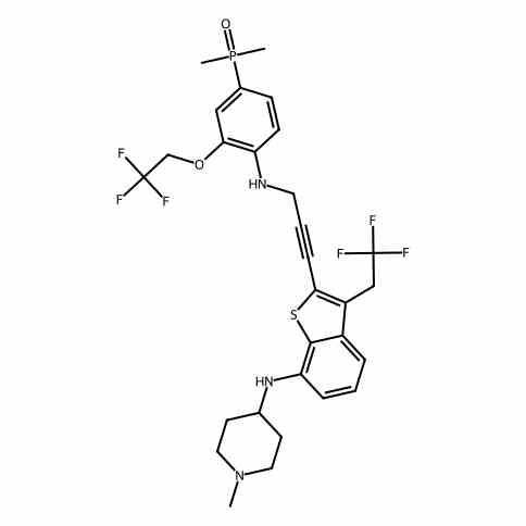 CN1CCC(Nc2cccc3c(CC(F)(F)F)c(C#CCNc4ccc(P(C)(C)=O)cc4OCC(F)(F)F)sc23)CC1